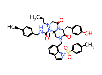 C#Cc1ccc(CNC(=O)N2[C@H]3CN(Cc4cccc5ccn(S(=O)(=O)c6ccc(C)cc6)c45)C(=O)[C@H](Cc4ccc(O)cc4)N3C(=O)CN2CC=C)cc1